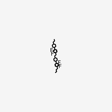 CCCCc1ccc(C2CCC(CCc3ccc(C4CCC(CCC)CC4)c(F)c3F)CC2)c(F)c1F